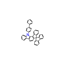 c1ccc(-c2ccc(-n3c4ccccc4c4ccc5c(c43)-c3ccccc3C53c4ccccc4-c4ccccc43)cc2)cc1